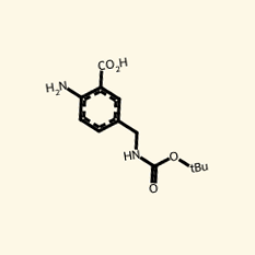 CC(C)(C)OC(=O)NCc1ccc(N)c(C(=O)O)c1